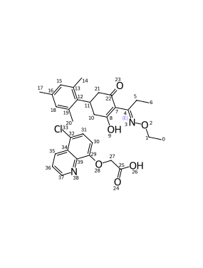 CCO/N=C(\CC)C1=C(O)CC(c2c(C)cc(C)cc2C)CC1=O.O=C(O)COc1ccc(Cl)c2cccnc12